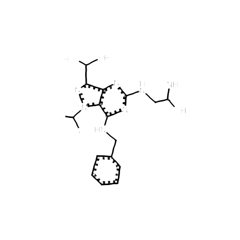 CC(N)CNc1nc(NCc2ccccc2)c2c(n1)c(C(C)C)nn2C(C)C